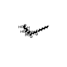 CCCCCCCCOC(=O)CC[C@H](NC(=O)NC(CCC(=O)O)C(=O)O)C(=O)O